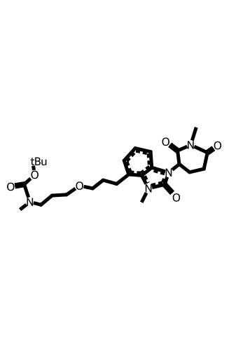 CN(CCCOCCCc1cccc2c1n(C)c(=O)n2C1CCC(=O)N(C)C1=O)C(=O)OC(C)(C)C